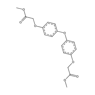 COC(=O)COc1ccc(Oc2ccc(OCC(=O)OC)cc2)cc1